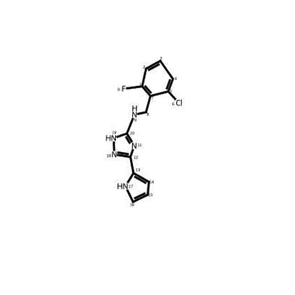 Fc1cccc(Cl)c1CNc1nc(-c2ccc[nH]2)n[nH]1